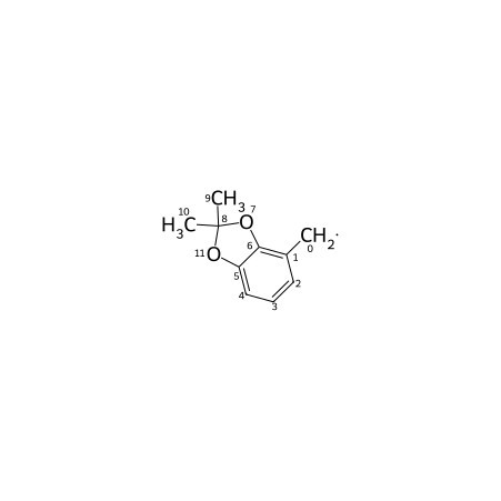 [CH2]c1cccc2c1OC(C)(C)O2